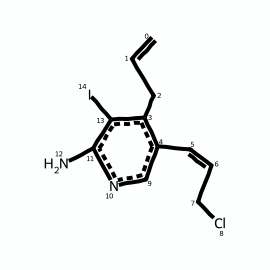 C=CCc1c(/C=C\CCl)cnc(N)c1I